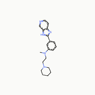 CN(CCN1CCCCC1)c1cccc(-c2nc3ccncc3[nH]2)c1